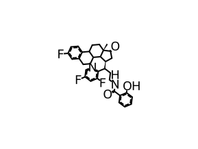 C[C@]12CCC3c4ccc(F)cc4CCC3C1[C@H](C(CCNC(=O)c1ccccc1O)c1ncc(F)cc1F)CC2=O